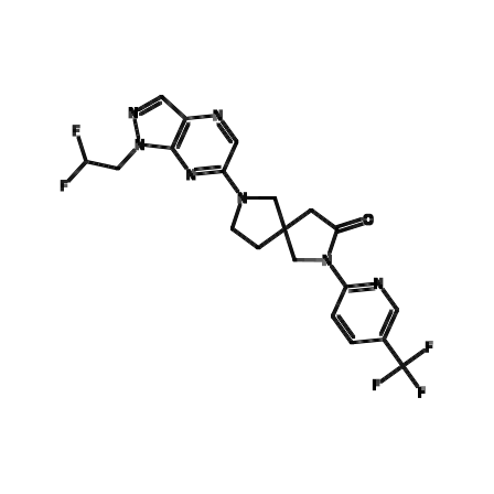 O=C1CC2(CCN(c3cnc4cnn(CC(F)F)c4n3)C2)CN1c1ccc(C(F)(F)F)cn1